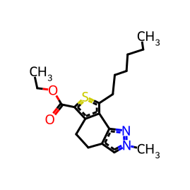 CCCCCCc1sc(C(=O)OCC)c2c1-c1nn(C)cc1CC2